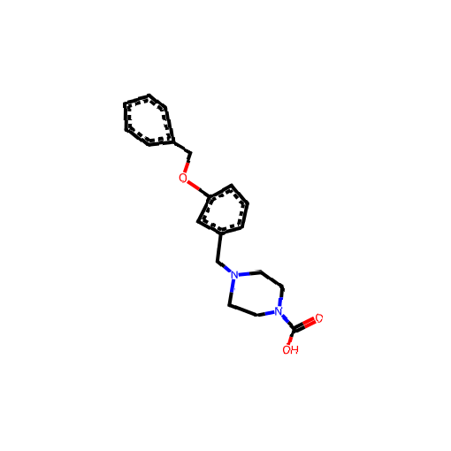 O=C(O)N1CCN(Cc2cccc(OCc3ccccc3)c2)CC1